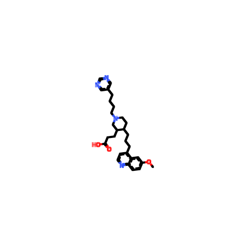 COc1ccc2nccc(CCCC3CCN(CCCCc4cncnc4)CC3CCC(=O)O)c2c1